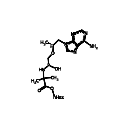 CCCCCCOC(=O)C(C)(C)NP(O)CO[C@H](C)Cn1cnc2c(N)ncnc21